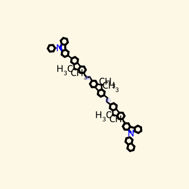 CC1(C)c2cc(/C=C/c3ccc4c(c3)C(C)(C)c3cc(-c5ccc6c(c5)c5ccccc5n6-c5ccccc5)ccc3-4)ccc2-c2ccc(/C=C/c3ccc4c(c3)C(C)(C)c3cc(-c5ccc6c(c5)c5ccccc5n6-c5ccc6ccccc6c5)ccc3-4)cc21